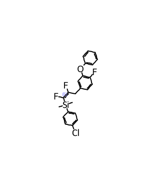 C[Si](C)(/C(F)=C(/F)Cc1ccc(F)c(Oc2ccccc2)c1)c1ccc(Cl)cc1